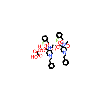 COC(=O)C1(N(OCc2ccccc2F)C(C)=O)CCN(CCc2ccccc2)CC1.COC(=O)C1(N(OCc2ccccc2F)C(C)=O)CCN(CCc2ccccc2)CC1.O=C(O)C(=O)O